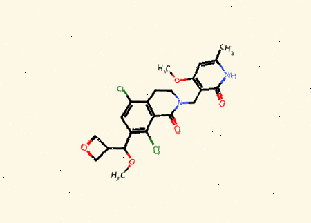 COc1cc(C)[nH]c(=O)c1CN1CCc2c(Cl)cc(C(OC)C3COC3)c(Cl)c2C1=O